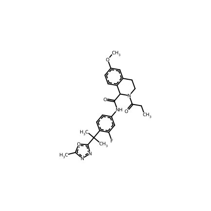 CCC(=O)N1CCc2cc(OC)ccc2C1C(=O)Nc1ccc(C(C)(C)c2nnc(C)o2)c(F)c1